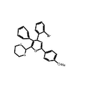 COc1ccc(C2=CC(c3ccccc3Br)C(c3ccccc3)=C(C3SCCCS3)O2)cc1